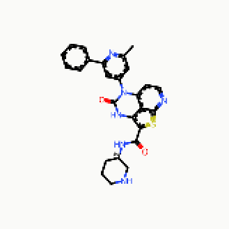 Cc1cc(N2C(=O)Nc3c(C(=O)N[C@@H]4CCCNC4)sc4nccc2c34)cc(-c2ccccc2)n1